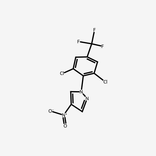 O=[N+]([O-])c1cnn(-c2c(Cl)cc(C(F)(F)F)cc2Cl)c1